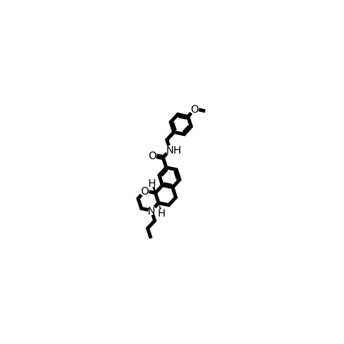 CCCN1CCO[C@@H]2c3cc(C(=O)NCc4ccc(OC)cc4)ccc3CC[C@H]21